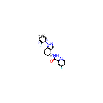 C/C=C(F)\C(=C/C)n1ncc2c1CCC[C@H]2NC(=O)c1cc(F)ccn1